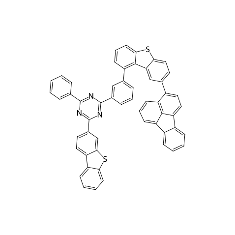 c1ccc(-c2nc(-c3cccc(-c4cccc5sc6ccc(-c7ccc8c9c(cccc79)-c7ccccc7-8)cc6c45)c3)nc(-c3ccc4c(c3)sc3ccccc34)n2)cc1